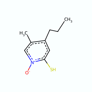 CCCc1cc(S)[n+]([O-])cc1C